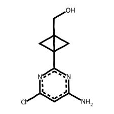 Nc1cc(Cl)nc(C23CC2(CO)C3)n1